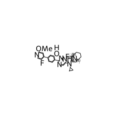 COc1cc(-c2ccc(-c3ncc(N(C4CC4)[C@H]4C[C@]5(C)CCC[C@@](C)(N5)[C@H]4F)nn3)c(O)c2)c(F)cn1